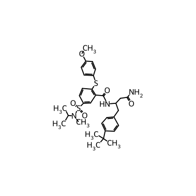 COc1ccc(Sc2ccc(S(=O)(=O)N(C)C(C)C)cc2C(=O)NC(CC(N)=O)Cc2ccc(C(C)(C)C)cc2)cc1